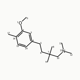 COc1cc(CCC(C)(C)CN(C)C)ccc1C